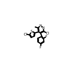 Cc1nnc(Cl)c(-c2ccc(F)cc2F)c1-c1ccc(Cl)s1